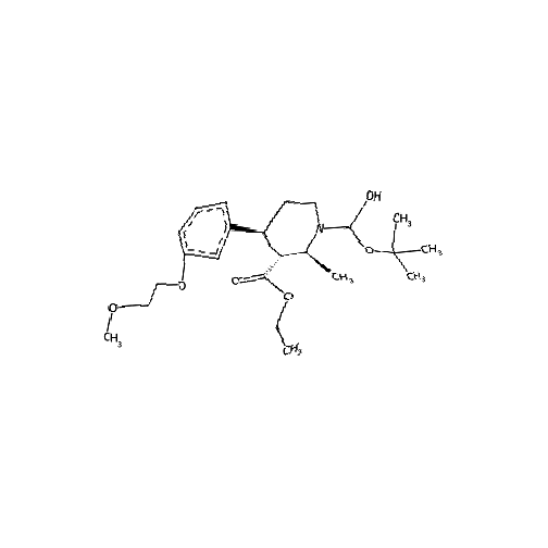 CCOC(=O)[C@@H]1[C@@H](c2cccc(OCCOC)c2)CCN(C(O)OC(C)(C)C)[C@H]1C